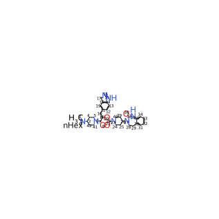 CCCCCCN(C)C1CCN(C(=O)[C@@H](Cc2ccc3[nH]ncc3c2)OC(=O)N2CCC(N3CCc4ccccc4NC3=O)CC2)CC1